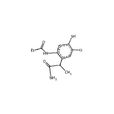 CCC(=O)Nc1cc(S)c(Cl)cc1C(C)C(N)=O